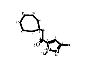 Cc1cc(C(=O)CC2CCCCCC2)n(C)n1